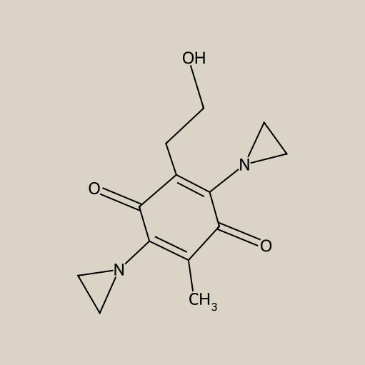 CC1=C(N2CC2)C(=O)C(CCO)=C(N2CC2)C1=O